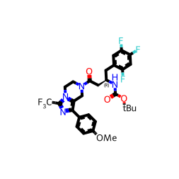 COc1ccc(-c2nc(C(F)(F)F)n3c2CN(C(=O)C[C@@H](Cc2cc(F)c(F)cc2F)NC(=O)OC(C)(C)C)CC3)cc1